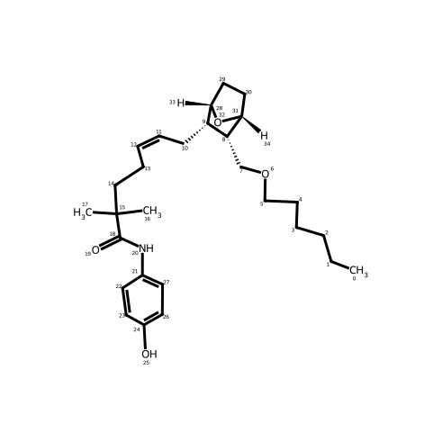 CCCCCCOC[C@@H]1[C@H](C/C=C\CCC(C)(C)C(=O)Nc2ccc(O)cc2)[C@@H]2CC[C@H]1O2